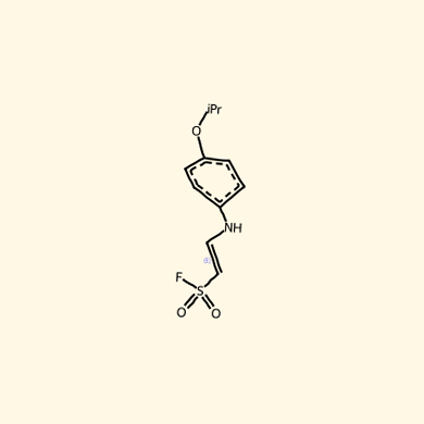 CC(C)Oc1ccc(N/C=C/S(=O)(=O)F)cc1